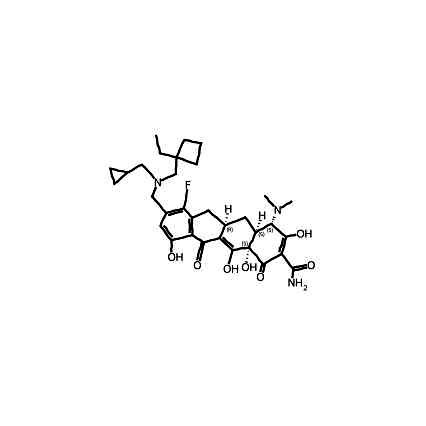 CCC1(CN(Cc2cc(O)c3c(c2F)C[C@H]2C[C@H]4[C@H](N(C)C)C(O)=C(C(N)=O)C(=O)[C@@]4(O)C(O)=C2C3=O)CC2CC2)CCC1